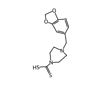 S=C(S)N1CCN(Cc2ccc3c(c2)OCO3)CC1